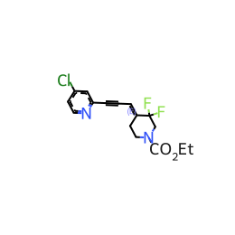 CCOC(=O)N1CC/C(=C\C#Cc2cc(Cl)ccn2)C(F)(F)C1